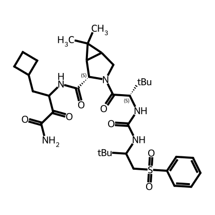 CC(C)(C)C(CS(=O)(=O)c1ccccc1)NC(=O)N[C@H](C(=O)N1CC2C([C@H]1C(=O)NC(CC1CCC1)C(=O)C(N)=O)C2(C)C)C(C)(C)C